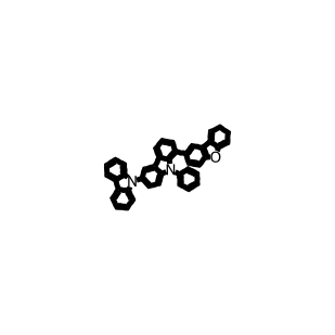 C1=c2oc3ccc(-c4cccc5c6cc(-n7c8ccccc8c8ccccc87)ccc6n(-c6ccccc6)c45)cc3c2=CCC1